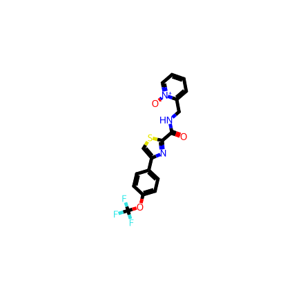 O=C(NCc1cccc[n+]1[O-])c1nc(-c2ccc(OC(F)(F)F)cc2)cs1